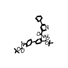 CN(C(=O)OC(C)(C)C)c1ccc(-c2ccc(C(=O)OC(C)(C)C)c(NC(=O)c3cncc(-c4ccccc4)c3)c2)cc1